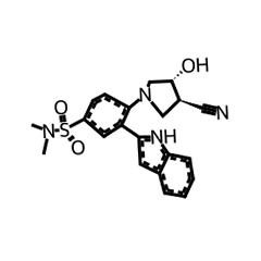 CN(C)S(=O)(=O)c1ccc(N2C[C@H](O)[C@@H](C#N)C2)c(-c2cc3ccccc3[nH]2)c1